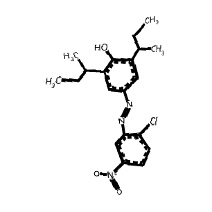 CCC(C)c1cc(N=Nc2cc([N+](=O)[O-])ccc2Cl)cc(C(C)CC)c1O